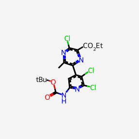 CCOC(=O)c1nc(-c2cc(NC(=O)OC(C)(C)C)nc(Cl)c2Cl)c(C)nc1Cl